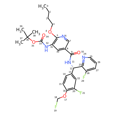 CCCCOc1ncc(C(=O)N[C@@H](c2ccc(OCF)c(F)c2)c2ncccc2F)cc1NC(=O)OC(C)(C)C